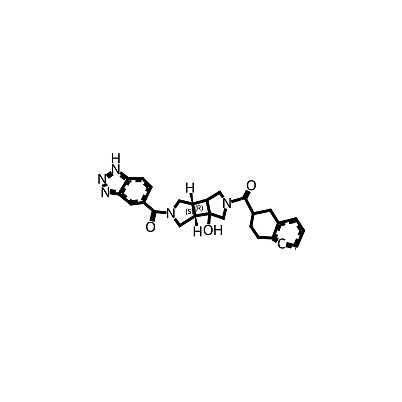 O=C(c1ccc2[nH]nnc2c1)N1C[C@@H]2C3CN(C(=O)C4CCc5ccccc5C4)CC3(O)[C@@H]2C1